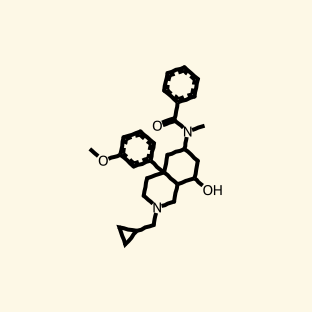 COc1cccc(C23CCN(CC4CC4)CC2C(O)CC(N(C)C(=O)c2ccccc2)C3)c1